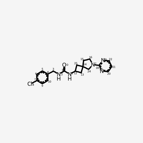 O=C(NCc1ccc(Cl)cc1)NC1CC2(CCN(c3ncccn3)C2)C1